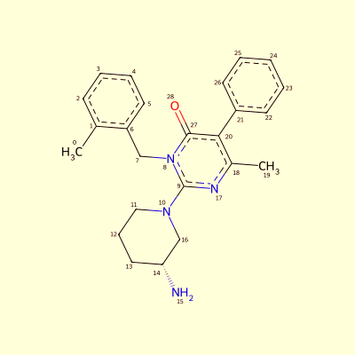 Cc1ccccc1Cn1c(N2CCC[C@@H](N)C2)nc(C)c(-c2ccccc2)c1=O